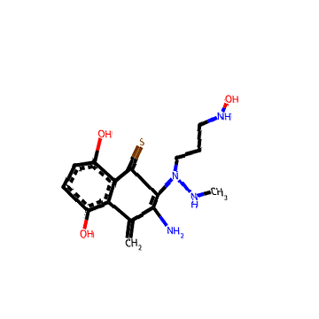 C=C1C(N)=C(N(CCCNO)NC)C(=S)c2c(O)ccc(O)c21